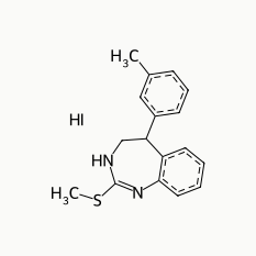 CSC1=Nc2ccccc2C(c2cccc(C)c2)CN1.I